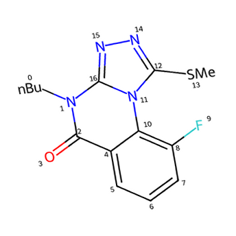 CCCCn1c(=O)c2cccc(F)c2n2c(SC)nnc12